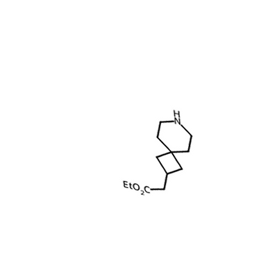 CCOC(=O)CC1CC2(CCNCC2)C1